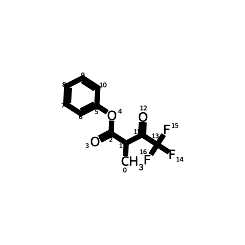 CC(C(=O)Oc1ccccc1)C(=O)C(F)(F)F